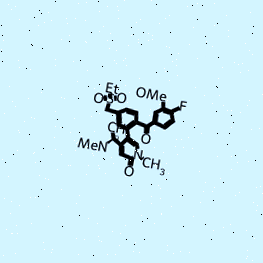 CCS(=O)(=O)Cc1ccc(C(=O)c2ccc(F)c(OC)c2)c(-c2cn(C)c(=O)cc2[C@H](C)NC)c1